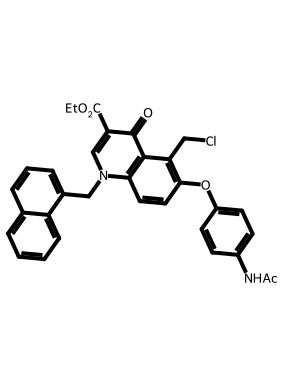 CCOC(=O)c1cn(Cc2cccc3ccccc23)c2ccc(Oc3ccc(NC(C)=O)cc3)c(CCl)c2c1=O